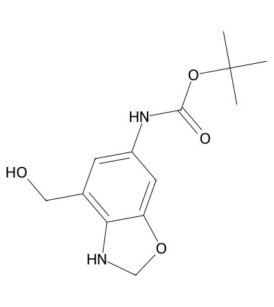 CC(C)(C)OC(=O)Nc1cc(CO)c2c(c1)OCN2